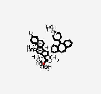 CN1CCC(=C2c3ccccc3C=Cc3ccccc32)CC1.C[C@H]1C[C@H]2[C@@H]3CCC4=CC(=O)C=C[C@]4(C)[C@@]3(F)[C@@H](O)C[C@]2(C)[C@@]1(OS(C)(=O)=O)C(=O)CO.Cl